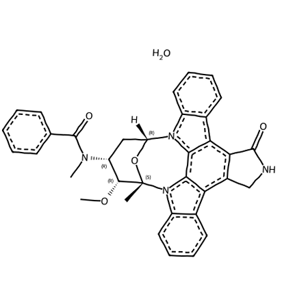 CO[C@@H]1[C@H](N(C)C(=O)c2ccccc2)C[C@H]2O[C@]1(C)n1c3ccccc3c3c4c(c5c6ccccc6n2c5c31)C(=O)NC4.O